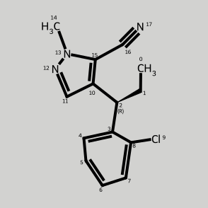 CC[C@@H](c1ccccc1Cl)c1cnn(C)c1C#N